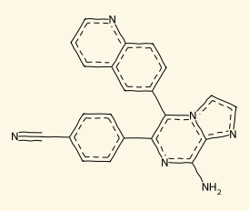 N#Cc1ccc(-c2nc(N)c3nccn3c2-c2ccc3ncccc3c2)cc1